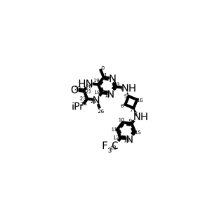 Cc1nc(N[C@H]2C[C@H](Nc3ccc(C(F)(F)F)nc3)C2)nc2c1NC(=O)C(C(C)C)N2C